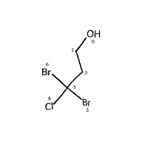 OCCC(Cl)(Br)Br